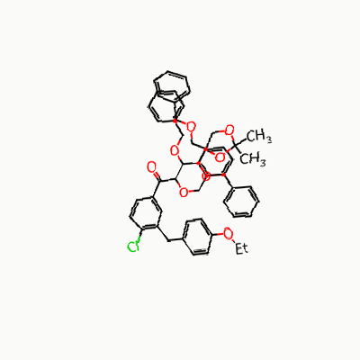 CCOc1ccc(Cc2cc(C(=O)C(OCc3ccccc3)C(OCc3ccccc3)C(OCc3ccccc3)C3(COCc4ccccc4)COC(C)(C)O3)ccc2Cl)cc1